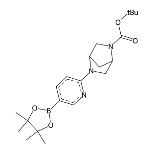 CC(C)(C)OC(=O)N1CC2CC1CN2c1ccc(B2OC(C)(C)C(C)(C)O2)cn1